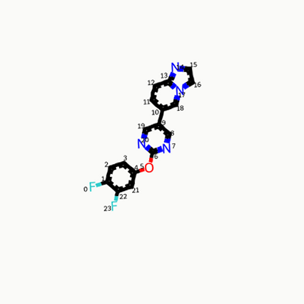 Fc1ccc(Oc2ncc(-c3ccc4nccn4c3)cn2)cc1F